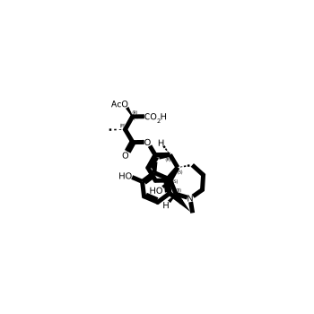 CC(=O)O[C@@H](C(=O)O)[C@@H](C)C(=O)OC1=CC[C@@]2(O)[C@H]3Cc4ccc(O)c5c4[C@@]2(CCCN3C)[C@H]1O5